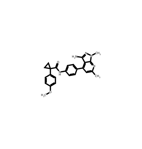 COc1ccc(C2(C(=O)Nc3ccc(-c4cc(C)nc5c4c(N)nn5C)cc3)CC2)cc1